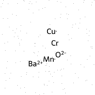 [Ba+2].[Cr].[Cu].[Mn].[O-2]